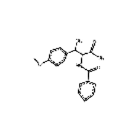 COc1ccc(C(O)C(NC(=O)c2ccccc2)C(=O)O)cc1